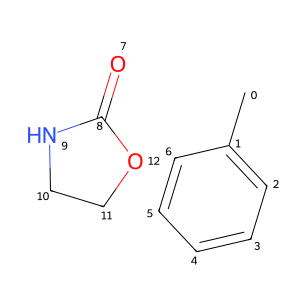 Cc1ccccc1.O=C1NCCO1